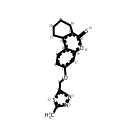 Cc1nnc(COc2ccc3c4c(c(=S)oc3c2)CCCC4)s1